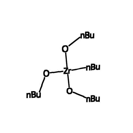 CCCC[O][Zr]([CH2]CCC)([O]CCCC)[O]CCCC